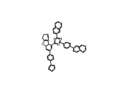 C1=CC2=C(CC1)OC1C=C(c3ccc(-c4ccccc4)cc3)C=C(c3nc(-c4ccc(-c5ccc6ccccc6c5)cc4)nc(-c4ccc5ccccc5c4)n3)C21